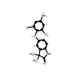 CC1(C)C(=O)Nc2ccc(Oc3c(Cl)cc(N)cc3Cl)cc21